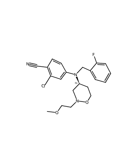 COCCN1C[C@@H](N(Cc2ccccc2F)c2ccc(C#N)c(Cl)c2)CCO1